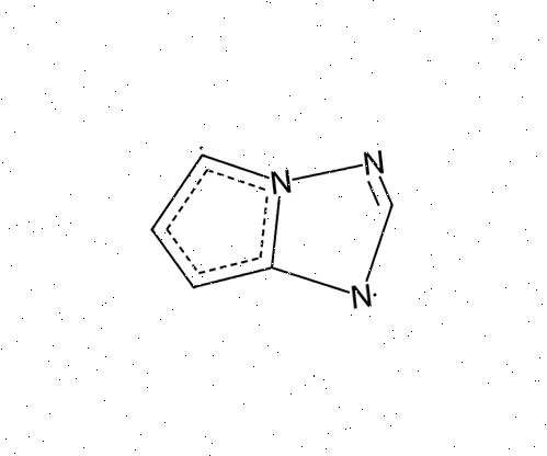 [c]1ccc2n1N=C[N]2